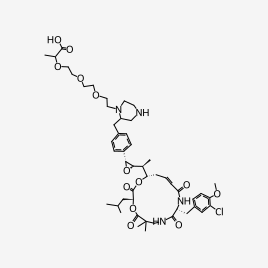 COc1ccc(C[C@H]2NC(=O)/C=C/C[C@@H]([C@H](C)[C@H]3O[C@@H]3c3ccc(CC4CNCCN4CCOCCOCCOC(C)C(=O)O)cc3)OC(=O)[C@H](CC(C)C)OC(=O)C(C)(C)CNC2=O)cc1Cl